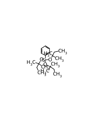 CCC(C)(C)O[Si](OC(C)(C)CC)(OC(C)(C)CC)c1ccccc1